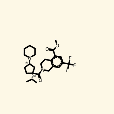 COC(=O)c1cc(C(F)(F)F)cc2c1CCN(C(=O)[C@@]1(C(C)C)CC[C@@H](N3CCCCC3)C1)C2